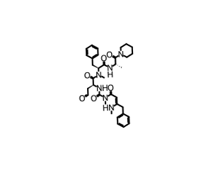 CN/C(=C\C(=O)N(C)C(=O)N[C@@H](CC=O)C(=O)N(C)[C@@H](Cc1ccccc1)C(=O)N[C@@H](C)C(=O)N1CCCCC1)Cc1ccccc1